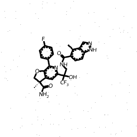 Cc1c(C(=O)NCC(O)(c2cc3c(c(-c4ccc(F)cc4)n2)OC[C@]3(C)C(N)=O)C(F)(F)F)ccc2[nH]ncc12